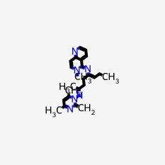 C=C1N=C(C)C=C(C)N1/N=C(\C)CCC(=C/CC)/N=c1/c2cccnc2ccn1C